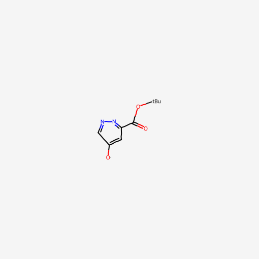 CC(C)(C)OC(=O)c1cc([O])cnn1